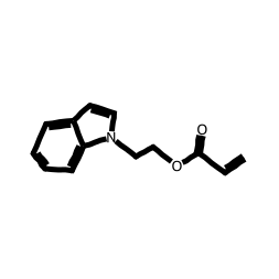 C=CC(=O)OCCn1ccc2ccccc21